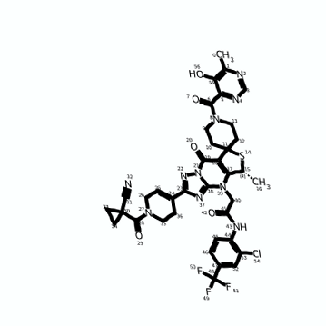 Cc1ncnc(C(=O)N2CCC3(CC2)S[C@H](C)c2c3c(=O)n3nc(C4=CCN(C(=O)C5(C#N)CC5)CC4)nc3n2CC(=O)Nc2ccc(C(F)(F)F)cc2Cl)c1O